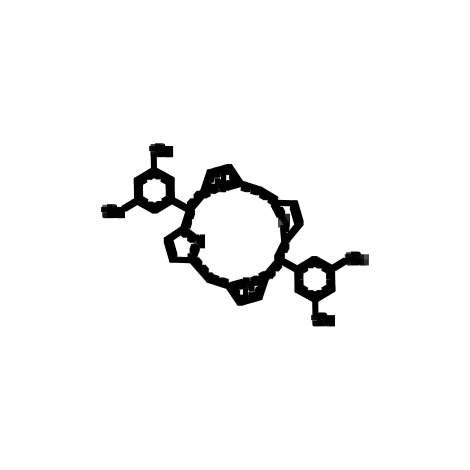 CC(C)(C)c1cc(-c2c3nc(cc4ccc([nH]4)c(-c4cc(C(C)(C)C)cc(C(C)(C)C)c4)c4nc(cc5ccc2[nH]5)C=C4)C=C3)cc(C(C)(C)C)c1